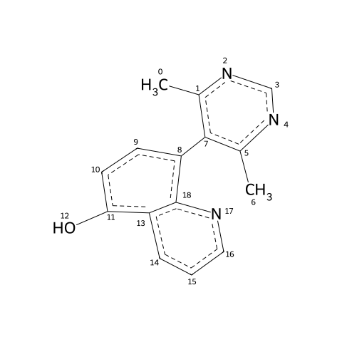 Cc1ncnc(C)c1-c1ccc(O)c2cccnc12